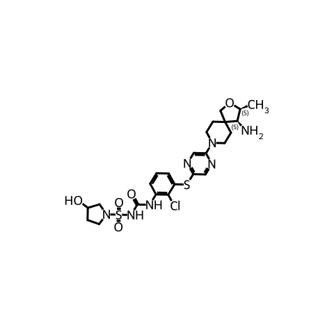 C[C@@H]1OCC2(CCN(c3cnc(Sc4cccc(NC(=O)NS(=O)(=O)N5CCC(O)C5)c4Cl)cn3)CC2)[C@@H]1N